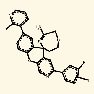 NC1=NC2(CCOC1)c1cc(-c3cccnc3F)ccc1Oc1cnc(-c3ccc(F)c(F)c3)cc12